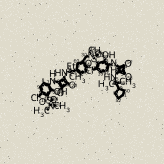 CCC(C)(Nc1c(Nc2ccc(Cl)c(S(=O)(=O)N(C)C)c2O)c(=O)c1=O)c1cccc(CN(C)S(=O)(=O)c2c(Cl)ccc(Nc3c(NC(C)(C)C4CCCC4)c(=O)c3=O)c2O)c1